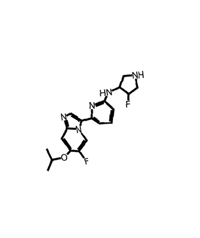 CC(C)Oc1cc2ncc(-c3cccc(NC4CNCC4F)n3)n2cc1F